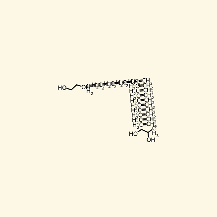 C=C.C=C.C=C.C=C.C=C.C=C.C=C.C=C.C=C.C=C.C=C.C=C.C=C.C=C.CC(O)CO.OCCO